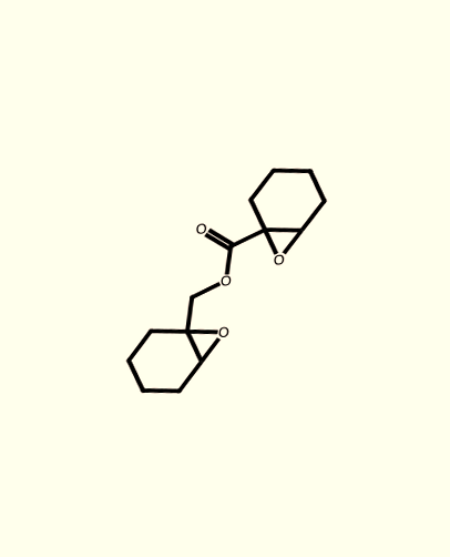 O=C(OCC12CCCCC1O2)C12CCCCC1O2